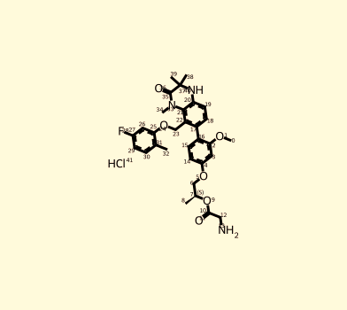 COc1cc(OC[C@H](C)OC(=O)CN)ccc1-c1ccc2c(c1COc1cc(F)ccc1C)N(C)C(=O)C(C)(C)N2.Cl